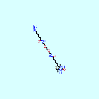 [N-]=[N+]=NCCCCCC(=O)NCCOCCOCCNC(=O)CCCC[C@@H]1SC[C@@H]2NC(=O)N[C@@H]21